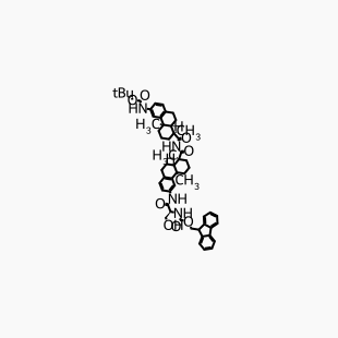 CC(C)(C)OC(=O)Nc1ccc2c(c1)[C@@]1(C)CCC[C@](C)(C(=O)NC(=O)[C@@]3(C)CCC[C@]4(C)c5cc(NC(=O)[C@H](CO)NC(=O)OCC6c7ccccc7-c7ccccc76)ccc5CC[C@@H]34)[C@@H]1CC2